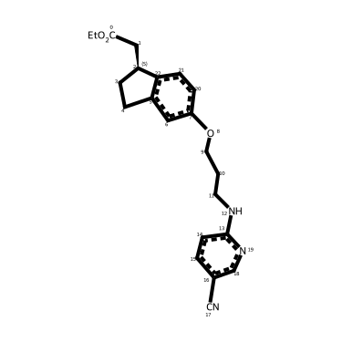 CCOC(=O)C[C@@H]1CCc2cc(OCCCNc3ccc(C#N)cn3)ccc21